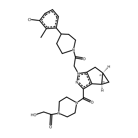 Cc1c(Cl)cccc1C1CCN(C(=O)Cn2nc(C(=O)N3CCN(C(=O)CO)CC3)c3c2C[C@H]2C[C@@H]32)CC1